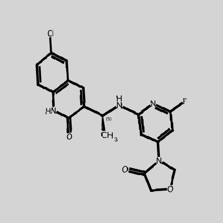 C[C@H](Nc1cc(N2COCC2=O)cc(F)n1)c1cc2cc(Cl)ccc2[nH]c1=O